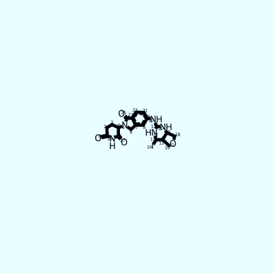 O=C1CCC(N2Cc3cc(NC4NC(I)C5COCC5N4)ccc3C2=O)C(=O)N1